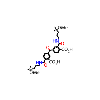 CO[Si](C)(C)CCCNC(=O)c1ccc(C(=O)c2ccc(C(=O)O)c(C(=O)NCCC[Si](C)(C)OC)c2)cc1C(=O)O